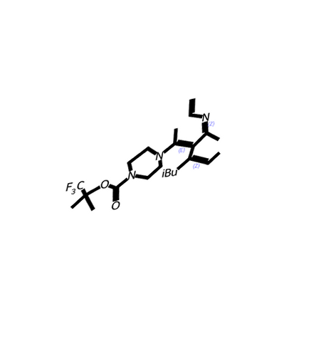 C=C\N=C(C)/C(C(=C\C)/C(C)CC)=C(\C)N1CCN(C(=O)OC(C)(C)C(F)(F)F)CC1